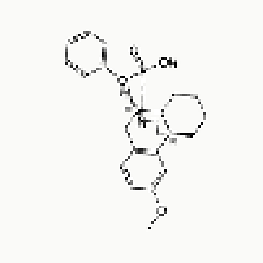 COc1ccc2c(c1)[C@@]13CCCCC1[C@@H](C2)N(P(=O)(O)Oc1ccccc1)CC3